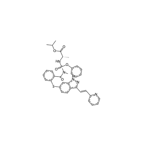 CC(C)OC(=O)[C@H](C)NP(=O)(Oc1ccccc1)N(C)C(=O)c1ccccc1Sc1ccc2c(/C=C/c3ccccn3)n[nH]c2c1